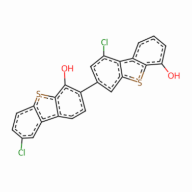 Oc1c(-c2cc(Cl)c3c(c2)sc2c(O)cccc23)ccc2c1sc1ccc(Cl)cc12